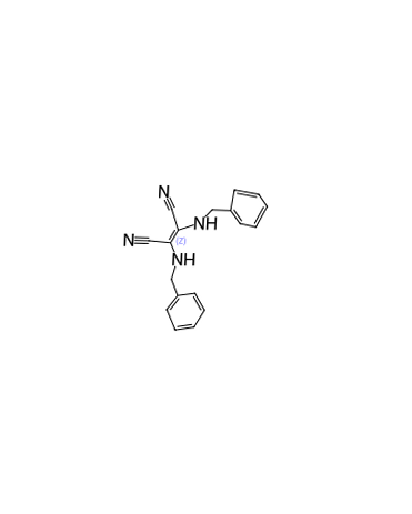 N#C/C(NCc1ccccc1)=C(\C#N)NCc1ccccc1